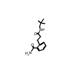 CC(C)(C)CNC(=O)C[CH]c1ccccc1C(N)=O